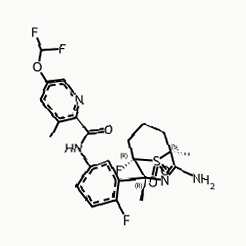 Cc1cc(OC(F)F)cnc1C(=O)Nc1ccc(F)c([C@@]2(C)N=C(N)[C@]3(C)CCC[C@@]2(F)S3(=O)=O)c1